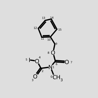 CN(C(=O)OI)C(=O)OCc1ccccc1